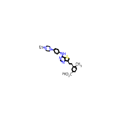 CCN1CCN(c2ccc(Nc3ncnc4c(C=Cc5cc(C(=O)O)ccc5C)csc34)cc2)CC1